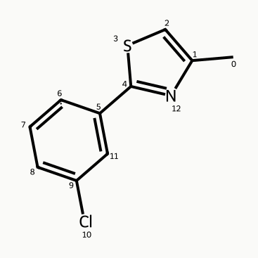 Cc1csc(-c2[c]ccc(Cl)c2)n1